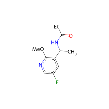 CCC(=O)NC(C)c1cc(F)cnc1OC